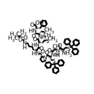 CSCC[C@H](NC(=O)[C@H](CCCCNC(=O)OC(C)(C)C)NC(=O)[C@@H]1CCCN1C(=O)[C@H](CSC(c1ccccc1)(c1ccccc1)c1ccccc1)NC(=O)[C@H](C)NC(=O)[C@@H](N)CSC(c1ccccc1)(c1ccccc1)c1ccccc1)C(=O)N[C@@H](CC(C)C)C(=O)N[C@@H](Cc1ccccc1)C(=O)O